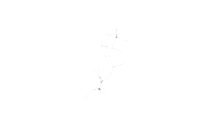 COC(=O)C(=O)CC(C)O[Si](C)(C)C(C)(C)C